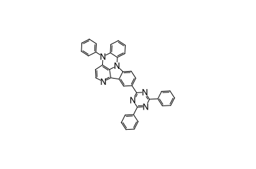 c1ccc(-c2nc(-c3ccccc3)nc(-c3ccc4c(c3)c3nccc5c3n4-c3ccccc3N5c3ccccc3)n2)cc1